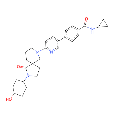 O=C(NC1CC1)c1ccc(-c2ccc(N3CCCC4(CCN(C5CCC(O)CC5)C4=O)C3)nc2)cc1